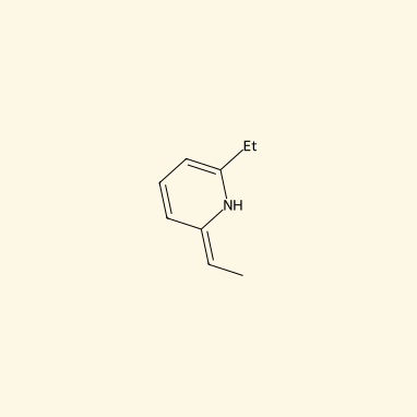 C/C=C1/C=CC=C(CC)N1